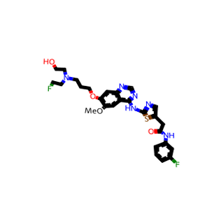 COc1cc2c(Nc3ncc(CC(=O)Nc4cccc(F)c4)s3)ncnc2cc1OCCCN(CCO)CCF